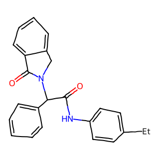 CCc1ccc(NC(=O)C(c2ccccc2)N2Cc3ccccc3C2=O)cc1